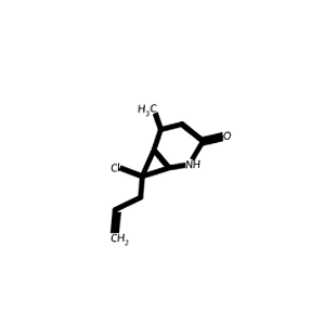 C=CCC1(Cl)C2NC(=O)CC(C)C21